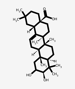 CC1(C)CC[C@]2(C(=O)O)CC[C@]3(C)C(=CC[C@@H]4[C@@]5(C)CC(O)[C@H](O)C(C)(C)[C@@H]5CC[C@]43C)[C@@H]2C1